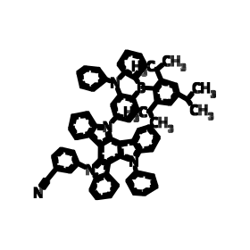 CC(C)c1cc(C(C)C)c(B2c3ccccc3N(c3ccccc3)c3cc(-n4c5ccccc5c5c6c(c7ccccc7n6-c6cccc(C#N)c6)c6c(c7ccccc7n6-c6ccccc6)c54)ccc32)c(C(C)C)c1